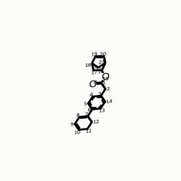 O=C(Cc1ccc(C2=CC=CCC2)cc1)O[C@H]1CC2C=CC1C2